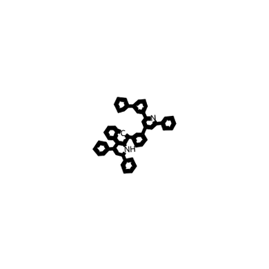 C1=C(c2ccccc2)c2c(c(-c3cccc(-c4cc(-c5ccccc5)nc(-c5cccc(-c6ccccc6)c5)c4)c3)cc3ccccc23)NC1c1ccccc1